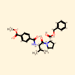 COC(=O)c1ccc(C(=O)N[C@H](C(=O)N2CCC[C@H]2C(=O)OCc2ccccc2)C(C)C)cc1